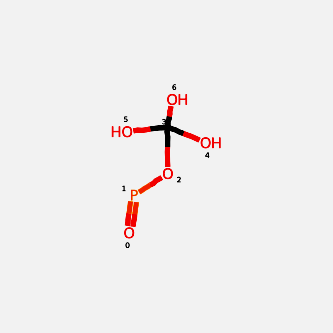 O=POC(O)(O)O